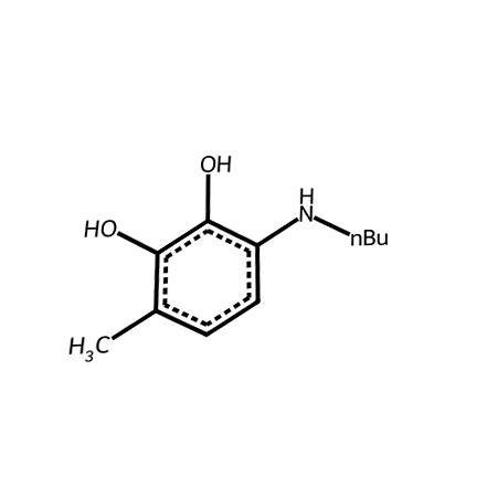 CCCCNc1ccc(C)c(O)c1O